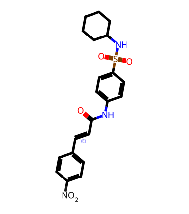 O=C(/C=C/c1ccc([N+](=O)[O-])cc1)Nc1ccc(S(=O)(=O)NC2CCCCC2)cc1